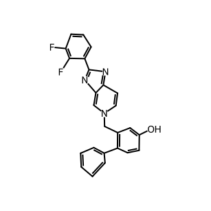 Oc1ccc(-c2ccccc2)c(Cn2ccc3nc(-c4cccc(F)c4F)nc-3c2)c1